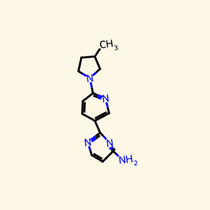 CC1CCN(c2ccc(-c3nccc(N)n3)cn2)C1